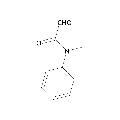 CN(C(=O)C=O)c1ccccc1